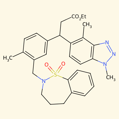 CCOC(=O)CC(c1ccc(C)c(CN2CCCc3ccccc3S2(=O)=O)c1)c1ccc2c(nnn2C)c1C